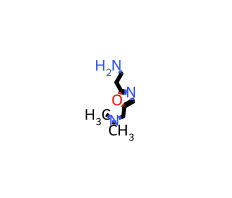 CN(C)Cc1cnc(CCN)o1